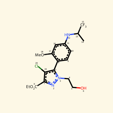 CCOC(=O)c1nn(CCO)c(-c2ccc(NC(C)C(F)(F)F)cc2OC)c1Cl